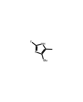 Cc1[nH]c(F)nc1C(C)(C)C